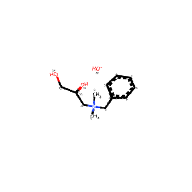 C[N+](C)(Cc1ccccc1)CC(O)CO.[OH-]